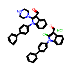 Cl.O=Cc1c(Cl)n(-c2ccc(-c3ccccc3)cc2)c2ccccc12.O=Cc1c(N2CCNCC2)n(-c2ccc(-c3ccccc3)cc2)c2ccccc12